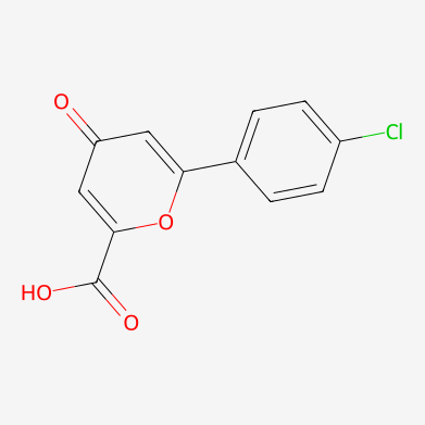 O=C(O)c1cc(=O)cc(-c2ccc(Cl)cc2)o1